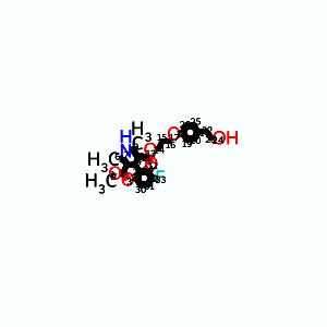 COC(=O)C1=C(C)NC(C)=C(C(=O)OCCCOc2ccc(CCO)cc2)C1c1cccc(F)c1